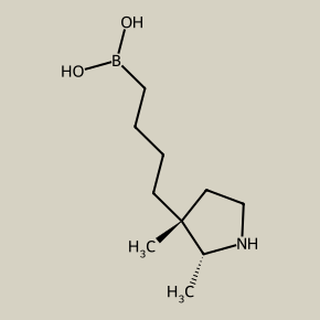 C[C@H]1NCC[C@@]1(C)CCCCB(O)O